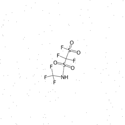 O=S(=O)(F)C(F)(F)S(=O)(=O)NC(F)(F)F